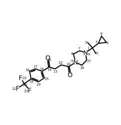 CC(C)(C1CC1)N1CCN(C(=O)CCC(=O)c2ccc(C(F)(F)F)cc2)CC1